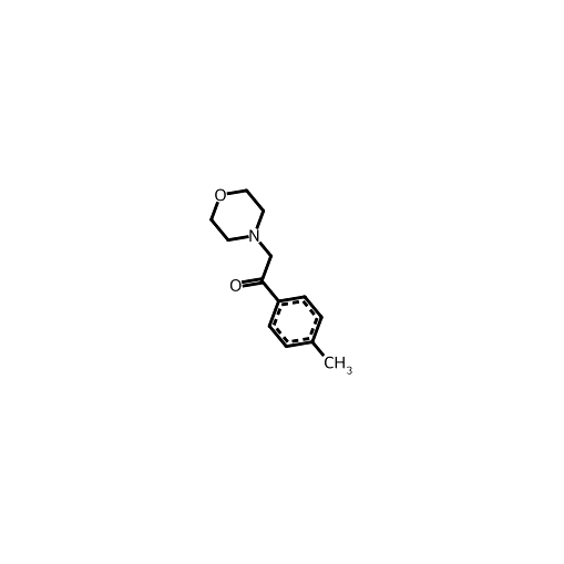 Cc1ccc(C(=O)CN2CCOCC2)cc1